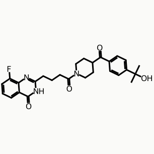 CC(C)(O)c1ccc(C(=O)C2CCN(C(=O)CCCc3nc4c(F)cccc4c(=O)[nH]3)CC2)cc1